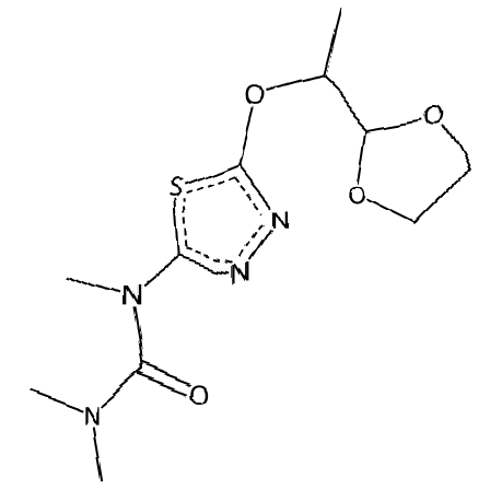 CC(Oc1nnc(N(C)C(=O)N(C)C)s1)C1OCCO1